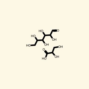 O=C(O)C(O)CO.O=CC(O)C(O)C(O)C(O)CO